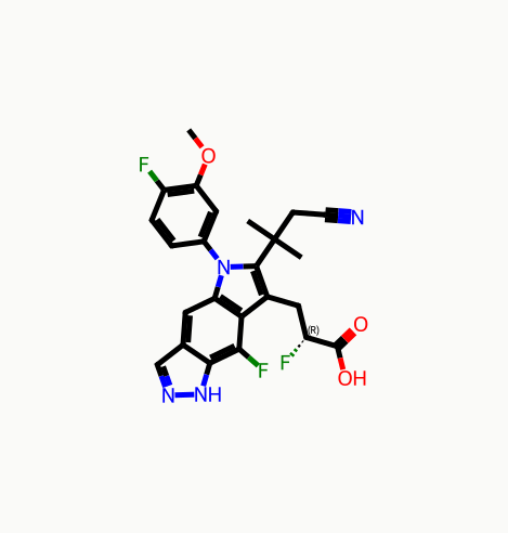 COc1cc(-n2c(C(C)(C)CC#N)c(C[C@@H](F)C(=O)O)c3c(F)c4[nH]ncc4cc32)ccc1F